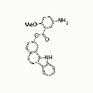 COc1ccc(N)cc1C(=O)Oc1ccc2ccc3c4ccccc4[nH]c3c2c1